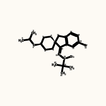 CC(C)O[C@H]1CC[C@]2(CC1)Cc1ccc(Br)cc1C2=N[S+]([O-])C(C)(C)C